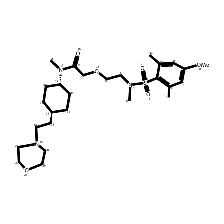 COc1cc(C)c(S(=O)(=O)N(C)CCOCC(=O)N(C)[C@H]2CC[C@H](CCN3CCOCC3)CC2)c(C)c1